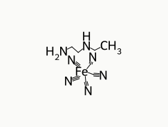 CCNCCN.N#[C][Fe]([C]#N)([C]#N)([C]#N)[C]#N